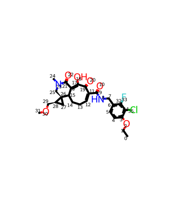 CCOc1ccc(CNC(=O)/C2=C/CCC3/C(=C(/O)C2=O)C(=O)N(C)C[C@]32C[C@H]2COC)c(F)c1Cl